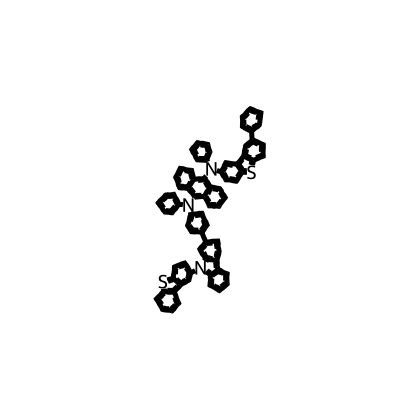 c1ccc(-c2ccc3sc4ccc(N(c5ccccc5)c5c6ccccc6c(N(c6ccccc6)c6ccc(-c7ccc8c9ccccc9n(-c9ccc%10sc%11ccccc%11c%10c9)c8c7)cc6)c6ccccc56)cc4c3c2)cc1